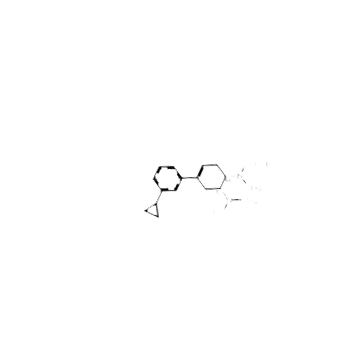 CN(C)[C@H]1CC(c2cccc(C3CC3)c2)=CC[C@@H]1N(C(=O)O)C(C)(C)C